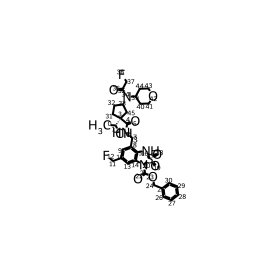 CC(C)[C@]1(C(=O)NCc2cc(CF)cc3c2NS(=O)(=O)N3C(=O)OCc2ccccc2)CC[C@@H](N(C(=O)CF)C2CCOCC2)C1